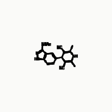 CC(=O)Nc1n[nH]c2ccc(C3C(C#N)=C(C)NC(C)=C3C#N)cc12